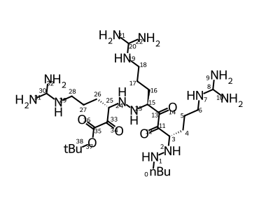 CCCCNN[C@@H](CCCNC(N)N)C(=O)C(=O)[C@H](CCCNC(N)N)NN[C@@H](CCCNC(N)N)C(=O)C(=O)OC(C)(C)C